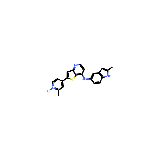 Cc1cc2cc(Nc3ccnc4cc(-c5cc[n+]([O-])c(C)c5)sc34)ccc2[nH]1